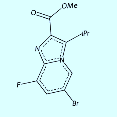 COC(=O)c1nc2c(F)cc(Br)cn2c1C(C)C